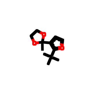 CC1(c2ccoc2[Si](C)(C)C)OCCO1